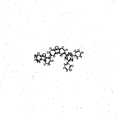 c1ccc(-c2nc(-c3ccccc3)nc(-c3ccc4oc5ccc(-c6cccc7c6oc6cncnc67)cc5c4c3)n2)cc1